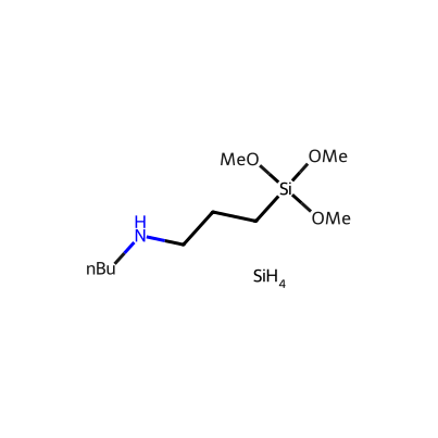 CCCCNCCC[Si](OC)(OC)OC.[SiH4]